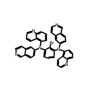 Brc1c(N(c2ccc3cnccc3c2)c2cccc3ncccc23)cccc1N(c1ccc2cnccc2c1)c1cccc2ncccc12